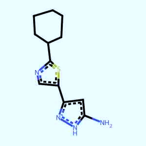 Nc1cc(-c2cnc(C3CCCCC3)s2)n[nH]1